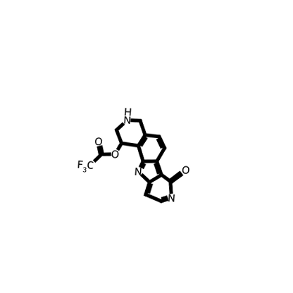 O=C1N=CC=C2N=c3c4c(ccc3=C12)CNCC4OC(=O)C(F)(F)F